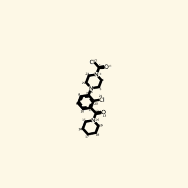 O=C(Cl)N1CCN(c2cccc(C(=O)N3CCCCC3)c2Cl)CC1